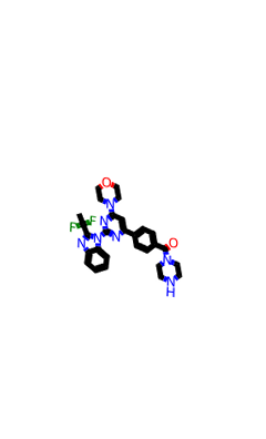 CC(F)(F)c1nc2ccccc2n1-c1nc(-c2ccc(C(=O)N3CCNCC3)cc2)cc(N2CCOCC2)n1